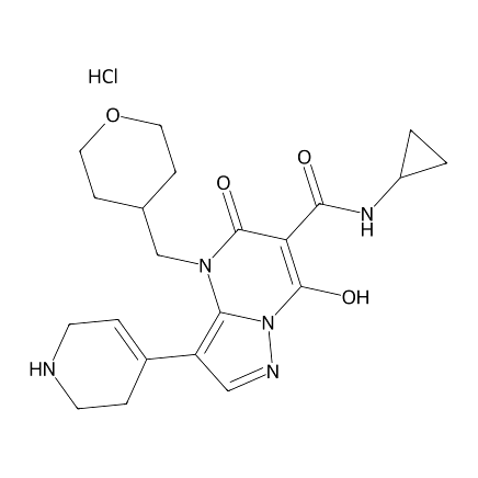 Cl.O=C(NC1CC1)c1c(O)n2ncc(C3=CCNCC3)c2n(CC2CCOCC2)c1=O